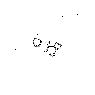 Cc1oncc1C(=O)Nc1ccccc1